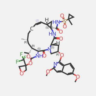 CC[C@@H]1C[C@H](C)CC/C=C\[C@@H]2C[C@@]2(C(=O)NS(=O)(=O)C2(C)CC2)NC(=O)[C@@H]2C[C@@H](Oc3nc(OC)cc4cc(OC)ccc34)CN2C(=O)[C@H]1NC(=O)OC1(C(F)(F)F)COC1